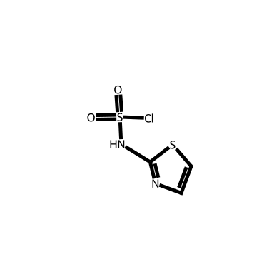 O=S(=O)(Cl)Nc1nccs1